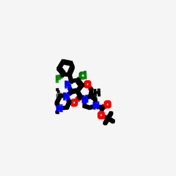 C[C@H]1CN(C)CCN1c1nc(-c2ccccc2F)c(Cl)c2c1C(=O)N1CCN(C(=O)OC(C)(C)C)C[C@@H]1CO2